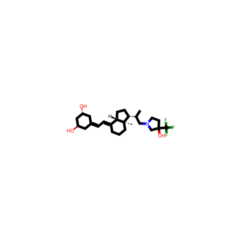 CC(CN1CCC(O)(C(F)(F)F)C1)[C@H]1CC[C@H]2/C(=C/C=C3C[C@@H](O)C[C@H](O)C3)CCC[C@]12C